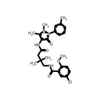 COc1ccc(Cl)cc1C(=O)NCC(C)(C)CC(=O)Nc1c(C)n(C)n(-c2cccc(C)c2)c1=O